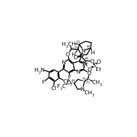 CC[C@@H](OS(=O)(=O)CC)C(=O)N1[C@@H]2CC[C@H]1[C@H]1[C@H](C)Oc3nc(-c4cc(N)c(F)c(Cl)c4C(F)(F)F)c(F)c4nc(O[C@@H](C)[C@@H]5C[C@@H](OC(F)(F)F)CN5C)nc(c34)N1C2